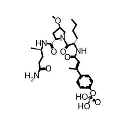 CCCC[C@H](NC(=O)/C=C(\C)c1ccc(OP(=O)(O)O)cc1)C(=O)N1C[C@H](OC)C[C@H]1C(=O)N[C@H](C)CCC(N)=O